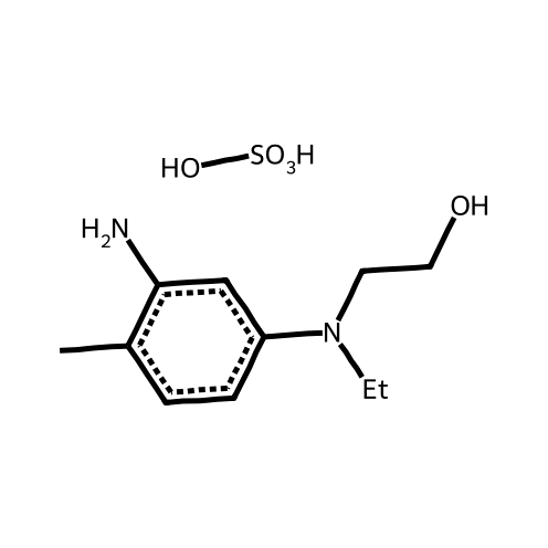 CCN(CCO)c1ccc(C)c(N)c1.O=S(=O)(O)O